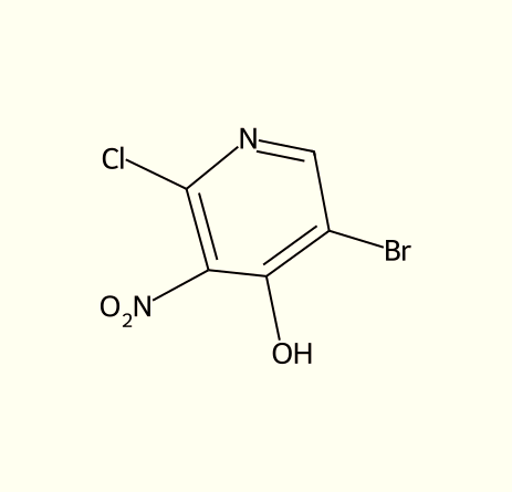 O=[N+]([O-])c1c(Cl)ncc(Br)c1O